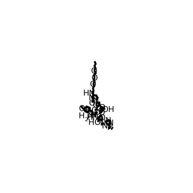 CCCCOCCOCCOCCCNc1ccn([C@H]2C[C@@H](OP(=O)(O)OC[C@H]3O[C@@H](n4cnc5c(N(C)C)ncnc54)C(O)[C@H]3NC(=O)C(N)Cc3ccc(OC)cc3)[C@@H](CO)O2)c(=O)n1